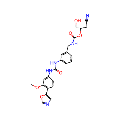 COc1cc(NC(=O)Nc2cccc(CNC(=O)O[C@H](CO)CC#N)c2)ccc1-c1cnco1